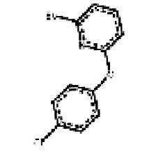 CCc1cccc(Oc2ccc(Cl)cc2)n1